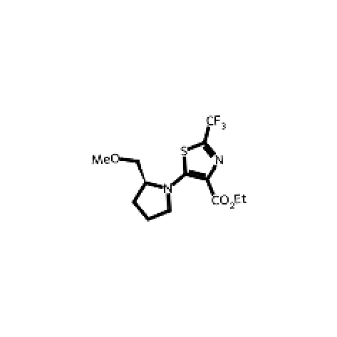 CCOC(=O)c1nc(C(F)(F)F)sc1N1CCC[C@H]1COC